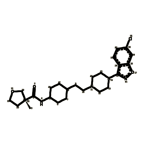 C[C@]1(C(=O)NC2CCC(CCN3CCN(c4noc5cc(Cl)ccc45)CC3)CC2)CCOC1